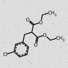 CCOC(=O)C(Cc1cccc(Cl)c1)C(=O)OCC